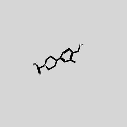 Cc1cc(C2CCN(C(=O)O)CC2)ccc1CO